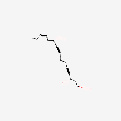 CC/C=C\C[C@H](O)C#CCCC#C[C@@H](O)CCO